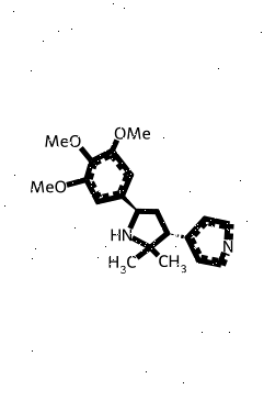 COc1cc([C@H]2C[C@H](c3ccncc3)C(C)(C)N2)cc(OC)c1OC